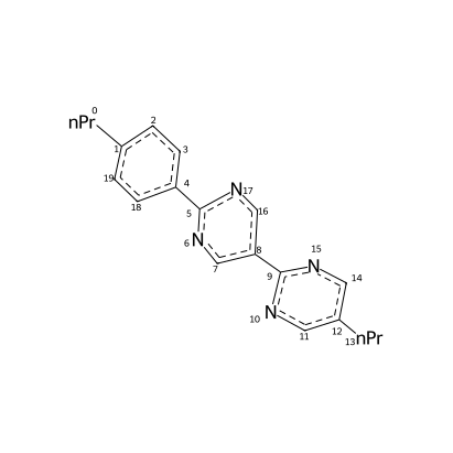 CCCc1ccc(-c2ncc(-c3ncc(CCC)cn3)cn2)cc1